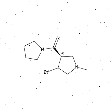 C=C([C@H]1CN(C)CC1CC)N1CCCC1